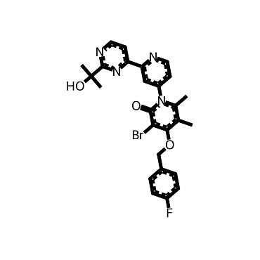 Cc1c(OCc2ccc(F)cc2)c(Br)c(=O)n(-c2ccnc(-c3ccnc(C(C)(C)O)n3)c2)c1C